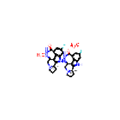 C[C@]12CCCN1CC1=NNC(=O)c3cc(F)cc4[nH]c2c1c34.C[C@]12CCCN1CC1=NNC(=O)c3cc(F)cc4[nH]c2c1c34.O.O.O